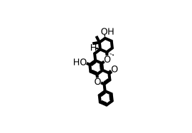 CC1(C)[C@H](O)CC[C@@]2(C)Oc3c(c(O)cc4oc(-c5ccccc5)cc(=O)c34)C[C@H]12